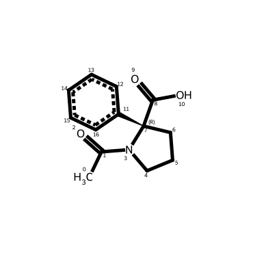 CC(=O)N1CCC[C@]1(C(=O)O)c1ccccc1